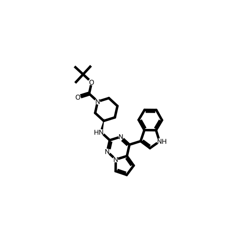 CC(C)(C)OC(=O)N1CCC[C@@H](Nc2nc(-c3c[nH]c4ccccc34)c3cccn3n2)C1